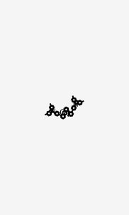 Cc1ccc2c(c1)c1cc(C)ccc1n2-c1ccc(-c2cccc3c2Oc2cccc4c5c(-c6ccc(-n7c8ccc(C)cc8c8cc(C)ccc87)cc6)cccc5n-3c24)cc1